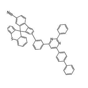 N#Cc1ccc2c(c1)C1(c3ccccc3Sc3ccccc31)c1cc(-c3cccc(-c4cc(-c5ccc(-c6ccccc6)cc5)nc(-c5ccccc5)n4)c3)ccc1-2